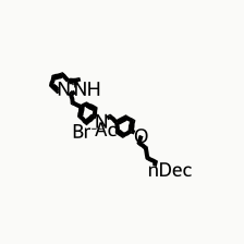 CCCCCCCCCCCCCCOc1ccc(CN(C(C)=O)c2ccc(Cc3[nH]cc4cccc[n+]34)cc2)cc1.[Br-]